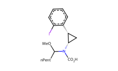 CCCCCC(OC)N(C(=O)O)[C@H]1C[C@H]1c1ccccc1I